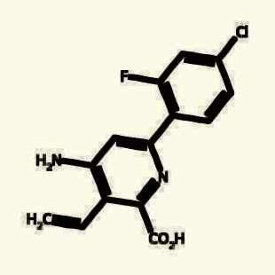 C=Cc1c(N)cc(-c2ccc(Cl)cc2F)nc1C(=O)O